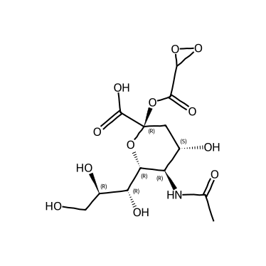 CC(=O)N[C@H]1[C@H]([C@H](O)[C@H](O)CO)O[C@](OC(=O)C2OO2)(C(=O)O)C[C@@H]1O